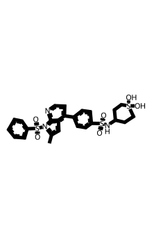 Cc1cc2c(-c3ccc(S(=O)(=O)NC4CCS(O)(O)CC4)cc3)ccnc2n1S(=O)(=O)c1ccccc1